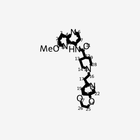 COc1ccc2nccc(NC(=O)C3CCN(CCc4cc5c(cn4)OCCO5)CC3)c2n1